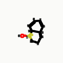 [O-][S+]1[C]CC=C2C=CC=CC21